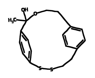 CC1(O)OCCc2ccc(cc2)CCSSc2ccc1cc2